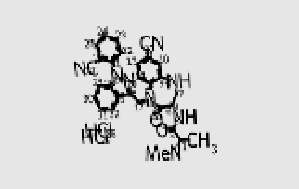 CNC(C)C(=O)N[C@H]1CNc2cc(C#N)ccc2N(Cc2nn(-c3ccccc3C#N)c3ccccc23)C1=O.Cl.Cl